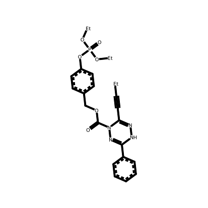 CCC#CC1=NNC(c2ccccc2)=NN1C(=O)OCc1ccc(OP(=O)(OCC)OCC)cc1